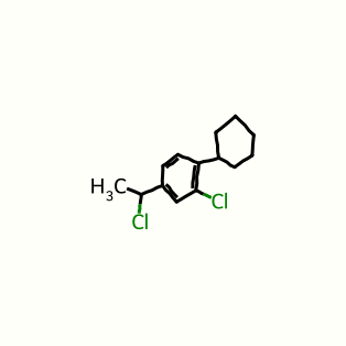 CC(Cl)c1ccc(C2CCCCC2)c(Cl)c1